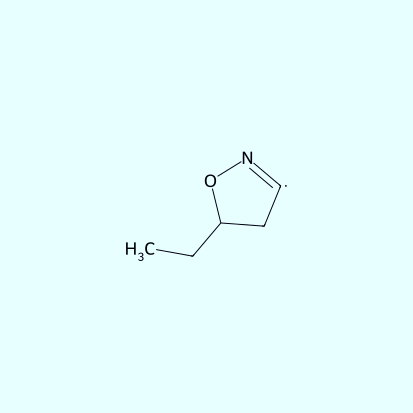 CCC1C[C]=NO1